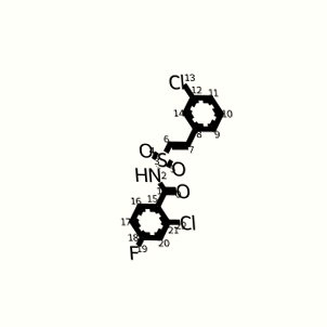 O=C(NS(=O)(=O)C=Cc1cccc(Cl)c1)c1ccc(F)cc1Cl